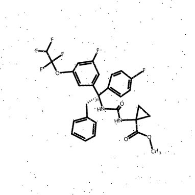 COC(=O)C1(NC(=O)N[C@](Cc2ccccc2)(c2ccc(F)cc2)c2cc(F)cc(OC(F)(F)C(F)F)c2)CC1